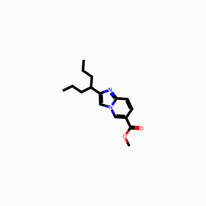 CCCC(CCC)c1cn2cc(C(=O)OC)ccc2n1